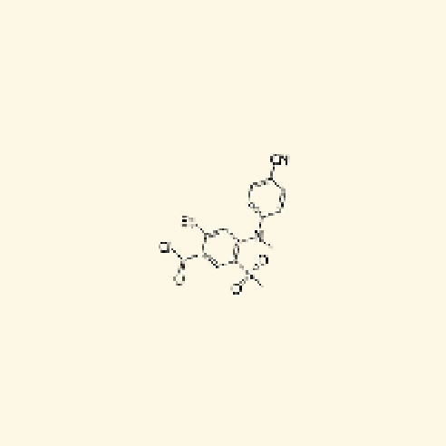 CCc1cc(N(C)c2ccc(C#N)cc2)c(S(C)(=O)=O)cc1C(=O)Cl